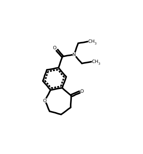 CCN(CC)C(=O)c1ccc2c(c1)C(=O)CCCO2